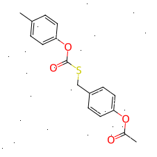 CC(=O)Oc1ccc(CSC(=O)Oc2ccc(C)cc2)cc1